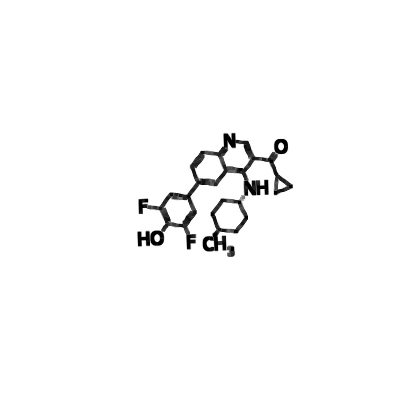 C[C@H]1CC[C@H](Nc2c(C(=O)C3CC3)cnc3ccc(-c4cc(F)c(O)c(F)c4)cc23)CC1